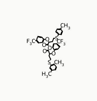 Cc1ccc(SCCC(Oc2ccc(C(F)(F)F)cc2)C(=O)OC(=O)C(CCSc2cc(C)ccc2C)Oc2ccc(C(F)(F)F)cc2)cc1